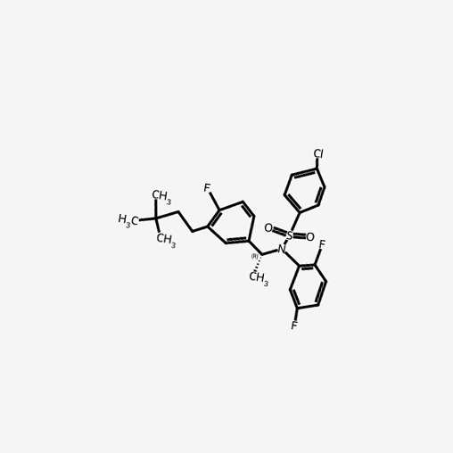 C[C@H](c1ccc(F)c(CCC(C)(C)C)c1)N(c1cc(F)ccc1F)S(=O)(=O)c1ccc(Cl)cc1